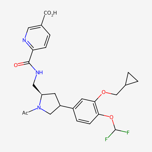 CC(=O)N1CC(c2ccc(OC(F)F)c(OCC3CC3)c2)C[C@@H]1CNC(=O)c1ccc(C(=O)O)cn1